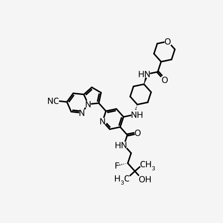 CC(C)(O)[C@H](F)CNC(=O)c1cnc(-c2ccc3cc(C#N)cnn23)cc1N[C@H]1CC[C@H](NC(=O)C2CCOCC2)CC1